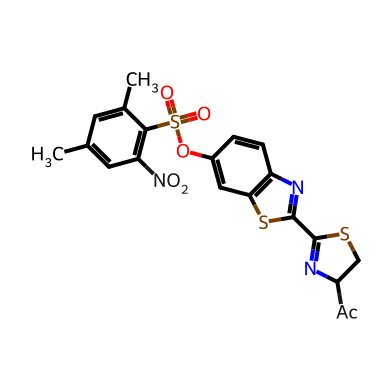 CC(=O)C1CSC(c2nc3ccc(OS(=O)(=O)c4c(C)cc(C)cc4[N+](=O)[O-])cc3s2)=N1